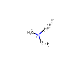 C[N](C)[Hf+3].[H-].[H-].[H-]